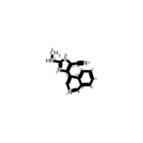 CNc1nc(-c2cncc3ccccc23)c(C#N)s1